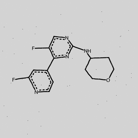 Fc1cc(-c2nc(NC3CCOCC3)ncc2F)ccn1